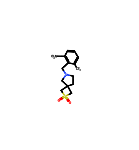 O=[N+]([O-])c1cccc(C(F)(F)F)c1CN1CCC2(C1)CS(=O)(=O)C2